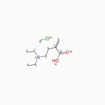 C=C(CCN(CC)CC)C(=O)O.CCl